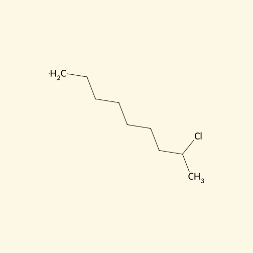 [CH2]CCCCCCC(C)Cl